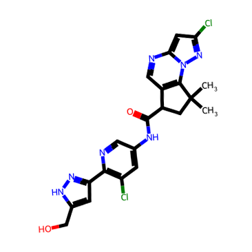 CC1(C)CC(C(=O)Nc2cnc(-c3cc(CO)[nH]n3)c(Cl)c2)c2cnc3cc(Cl)nn3c21